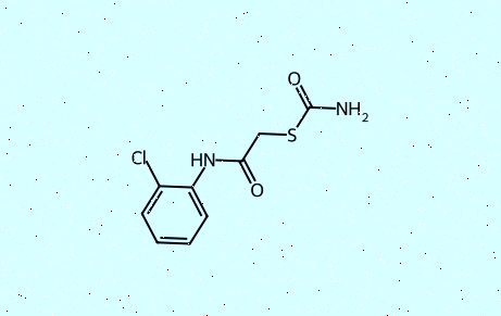 NC(=O)SCC(=O)Nc1ccccc1Cl